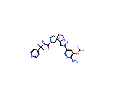 CC(C)(NC(=O)N1CC[C@@]2(CCn3nc(-c4cnc(N)c(OC(F)F)c4)cc32)C1)c1ccncc1